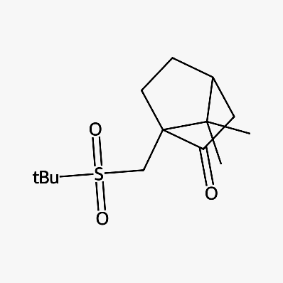 CC1(C)C2CCC1(CS(=O)(=O)C(C)(C)C)C(=O)C2